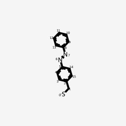 [S]Cc1ccc(N=Nc2ccccc2)cc1